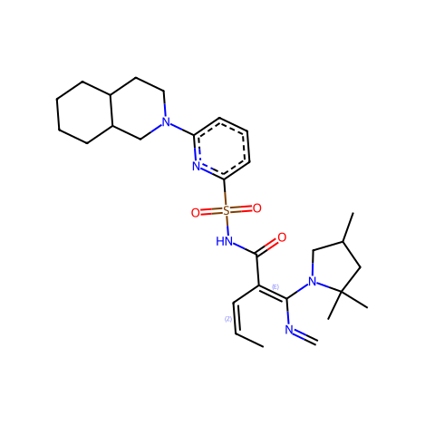 C=N/C(=C(\C=C/C)C(=O)NS(=O)(=O)c1cccc(N2CCC3CCCCC3C2)n1)N1CC(C)CC1(C)C